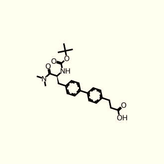 CN(C)C(=O)[C@H](Cc1ccc(-c2ccc(CCC(=O)O)cc2)cc1)NC(=O)OC(C)(C)C